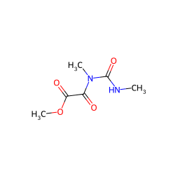 CNC(=O)N(C)C(=O)C(=O)OC